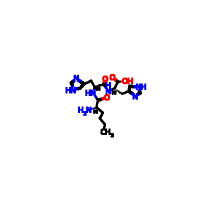 CCCC[C@H](N)C(=O)N[C@@H](Cc1c[nH]cn1)C(=O)N[C@@H](Cc1c[nH]cn1)C(=O)O